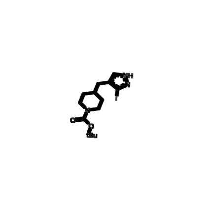 CC(C)(C)OC(=O)N1CCC(Cc2c[nH]nc2I)CC1